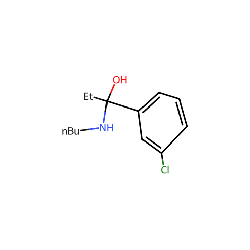 CCCCNC(O)(CC)c1cccc(Cl)c1